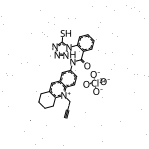 C#CC[n+]1c2c(cc3cc(NC(=O)c4ccccc4-n4nnnc4S)ccc31)CCCC2.[O-][Cl+3]([O-])([O-])[O-]